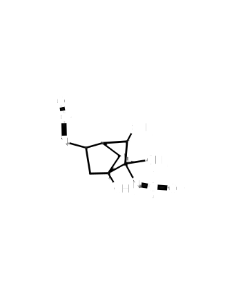 CC1C2CC(C)(CC2N=C=O)C1(C)N=C=O